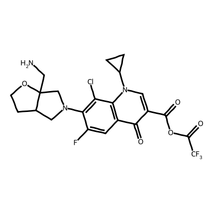 NCC12CN(c3c(F)cc4c(=O)c(C(=O)OC(=O)C(F)(F)F)cn(C5CC5)c4c3Cl)CC1CCO2